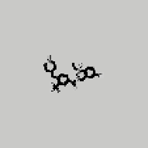 CCS(=O)(=O)c1ccc(Cl)cc1CNC(=O)c1ccc(CC2CCNCC2)c(C(F)(F)F)c1